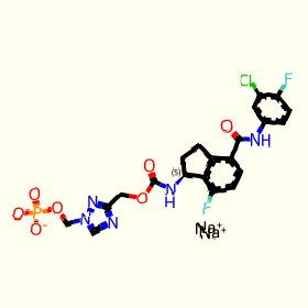 O=C(N[C@H]1CCc2c(C(=O)Nc3ccc(F)c(Cl)c3)ccc(F)c21)OCc1ncn(COP(=O)([O-])[O-])n1.[Na+].[Na+]